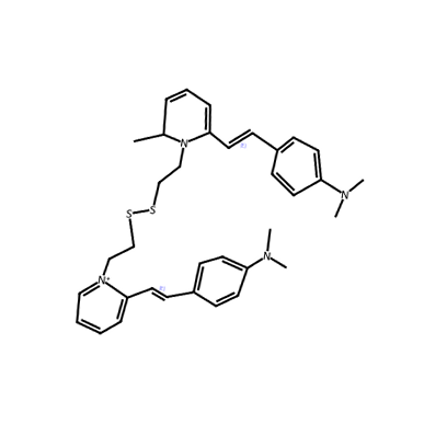 CC1C=CC=C(/C=C/c2ccc(N(C)C)cc2)N1CCSSCC[n+]1ccccc1/C=C/c1ccc(N(C)C)cc1